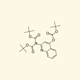 CC(C)(C)OC(=O)Oc1cc(N(C(=O)OC(C)(C)C)C(=O)OC(C)(C)C)nc2ccccc12